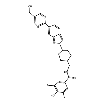 O=C(NCC1CCC(n2cc3ccc(-c4ncc(CO)cn4)cc3n2)CC1)c1cc(F)c(O)c(F)c1